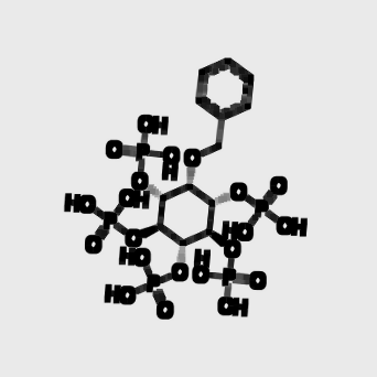 O=P(O)(O)O[C@@H]1[C@@H](OP(=O)(O)O)[C@H](OP(=O)(O)O)[C@H](OCc2ccccc2)[C@H](OP(=O)(O)O)[C@H]1OP(=O)(O)O